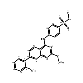 COCc1nc(Nc2ccc(S(=O)(=O)CF)cc2)c2ccc(-c3ncccc3C)nc2n1